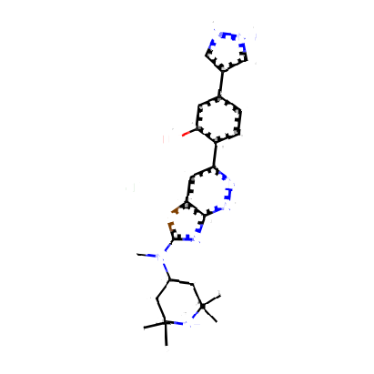 CN(c1nc2nnc(-c3ccc(-c4cn[nH]c4)cc3O)cc2s1)C1CC(C)(C)NC(C)(C)C1.Cl